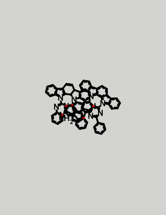 C=N/C(=N\C(=N/c1ccccc1)n1c2c(c3ccccc31)C=CC1c3ccccc3N(c3cccc(-c4ccccc4-c4ccc(-n5c6ccccc6c6ccc7c8ccccc8n(-c8nc(-c9ccccc9)nc(-c9ccccc9)n8)c7c65)cc4)c3)C21)c1ccccc1